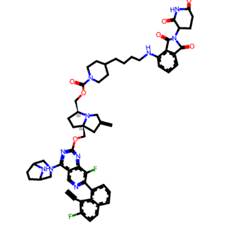 C#Cc1c(F)ccc2cccc(-c3ncc4c(N5CC6CCC(C5)N6)nc(OC[C@@]56CC[C@@H](COC(=O)N7CCC(CCCCNc8cccc9c8C(=O)N(C8CCC(=O)NC8=O)C9=O)CC7)N5CC(=C)C6)nc4c3F)c12